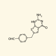 Nc1nc(=O)c2cc(Cc3ccc(C=O)cc3)sc2[nH]1